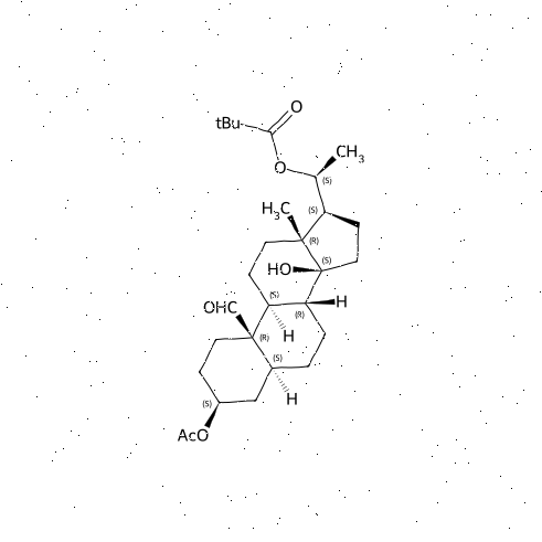 CC(=O)O[C@H]1CC[C@@]2(C=O)[C@@H](CC[C@@H]3[C@@H]2CC[C@]2(C)[C@@H]([C@H](C)OC(=O)C(C)(C)C)CC[C@]32O)C1